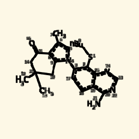 CCCCSc1c(-n2cc(C)c3c2CC(C)(C)CC3=O)ccc2c(N)ncnc12